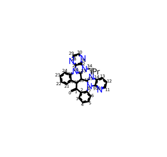 C=C1c2ccccc2N2c3ncccc3N(C(C)C)C2C2C1c1ccccc1N1c3nccnc3N(C)C21